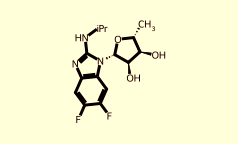 CC(C)Nc1nc2cc(F)c(F)cc2n1[C@@H]1O[C@H](C)[C@@H](O)[C@H]1O